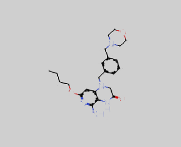 CCCCOc1cc2c(c(N)n1)NC(=O)CN2Cc1cccc(CN2CCOCC2)c1